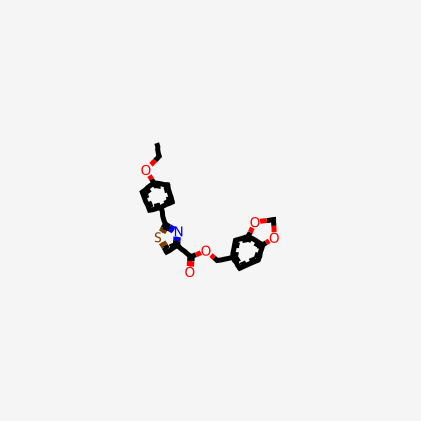 CCOc1ccc(-c2nc(C(=O)OCc3ccc4c(c3)OCO4)cs2)cc1